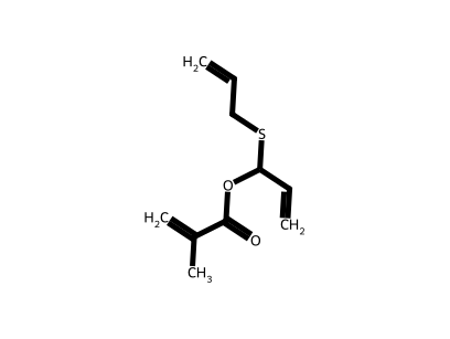 C=CCSC(C=C)OC(=O)C(=C)C